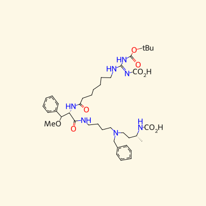 COC(c1ccccc1)[C@H](NC(=O)CCCCCCNC(=NC(=O)O)NC(=O)OC(C)(C)C)C(=O)NCCCCN(CC[C@@H](C)NC(=O)O)Cc1ccccc1